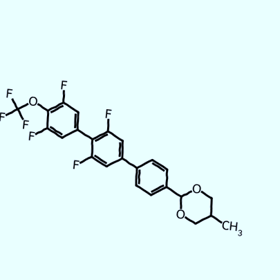 CC1COC(c2ccc(-c3cc(F)c(-c4cc(F)c(OC(F)(F)F)c(F)c4)c(F)c3)cc2)OC1